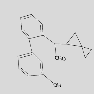 O=CC(c1ccccc1-c1cccc(O)c1)C1CC12CC2